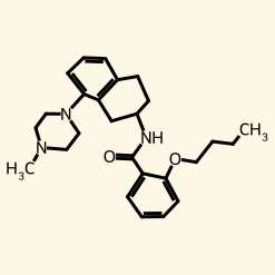 CCCCOc1ccccc1C(=O)NC1CCc2cccc(N3CCN(C)CC3)c2C1